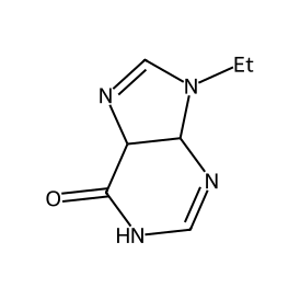 CCN1C=NC2C(=O)NC=NC21